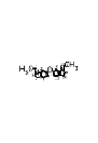 CCN1CCc2ccc(Oc3ccc4c(c3)N(CC)CC4)cc21